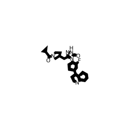 O=C(C1CC1)N1CCC(Cc2n[nH]c(=O)n2-c2ccc(-c3ccnc4ccccc34)cc2F)C1